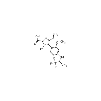 CCn1nc(C(=O)O)c(Cl)c1-c1ccc(NC(C)C(F)(F)F)cc1OC